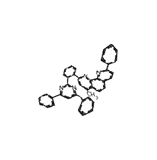 Cc1cc(-c2ccccc2-c2nc(-c3ccccc3)cc(-c3ccccc3)n2)nc2c1ccc1ccc(-c3ccccc3)nc12